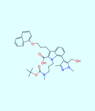 Cc1nn(C)c(CO)c1-c1cccc2c(CCCOc3cccc4ccccc34)c(C(=O)O)n(CCCN(C)C(=O)OC(C)(C)C)c12